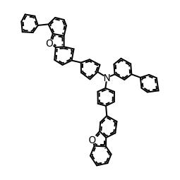 c1ccc(-c2cccc(N(c3ccc(-c4ccc5c(c4)oc4ccccc45)cc3)c3ccc(-c4ccc5oc6c(-c7ccccc7)cccc6c5c4)cc3)c2)cc1